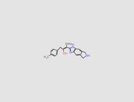 CN/C(=C(/O)Cc1ccc(C)cc1)c1nc2cc3c(cc2[nH]1)CNC3